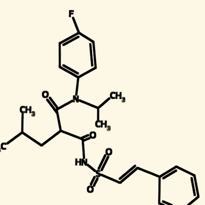 CC(C)CC(C(=O)NS(=O)(=O)C=Cc1cccnc1)C(=O)N(c1ccc(F)cc1)C(C)C